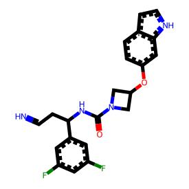 N=CCC(NC(=O)N1CC(Oc2ccc3cc[nH]c3c2)C1)c1cc(F)cc(F)c1